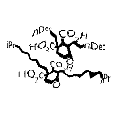 CC(C)CCCCCCCC1C2OC2=CC(CCCCCCCC(C)C)(C(=O)O)C1C(=O)O.CCCCCCCCCCCCC1C2OC2=CC(CCCCCCCCCCCC)(C(=O)O)C1C(=O)O